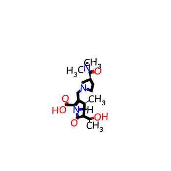 C[C@@H](O)C1C(=O)N2C(C(=O)O)=C(CN3CC[C@H](C(=O)N(C)C)C3)[C@H](C)[C@H]12